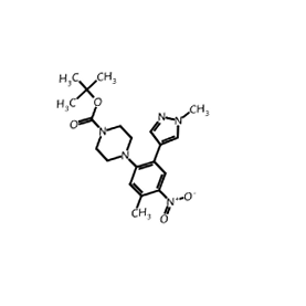 Cc1cc(N2CCN(C(=O)OC(C)(C)C)CC2)c(-c2cnn(C)c2)cc1[N+](=O)[O-]